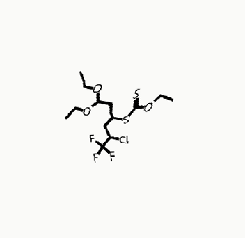 CCOC(=S)SC(CC(OCC)OCC)CC(Cl)C(F)(F)F